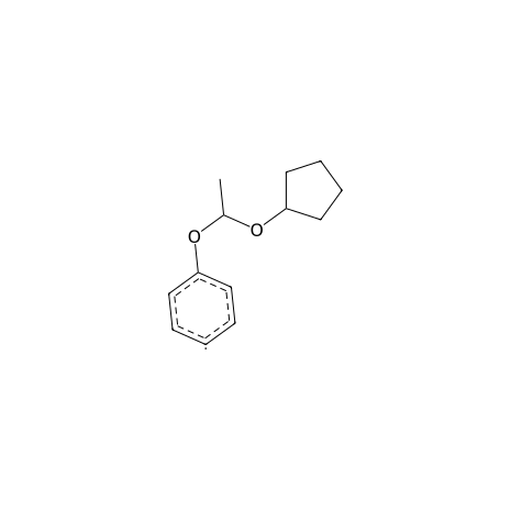 CC(Oc1cc[c]cc1)OC1CCCC1